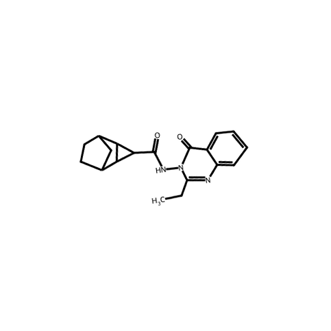 CCc1nc2ccccc2c(=O)n1NC(=O)C1C2C3CCC(C3)C12